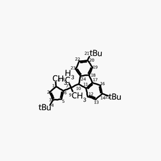 CC1C=C(C(C)(C)C)C=C1C(C)(C)C1c2ccc(C(C)(C)C)cc2-c2cc(C(C)(C)C)ccc21